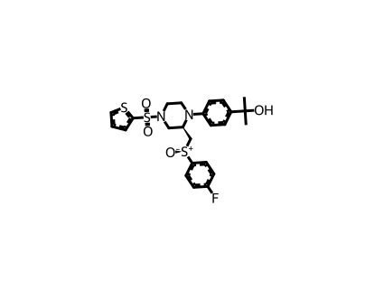 CC(C)(O)c1ccc(N2CCN(S(=O)(=O)c3cccs3)C[C@@H]2C[S@+]([O-])c2ccc(F)cc2)cc1